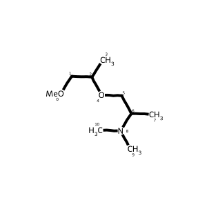 COCC(C)OCC(C)N(C)C